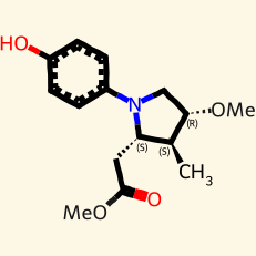 COC(=O)C[C@H]1[C@H](C)[C@@H](OC)CN1c1ccc(O)cc1